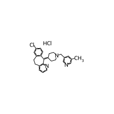 Cc1cncc(CN2CCC(=C3c4ccc(Cl)cc4CCc4cccnc43)CC2)c1.Cl